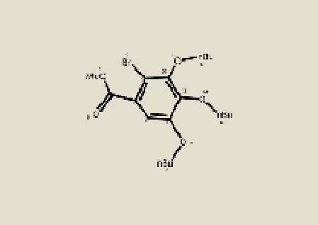 CCCCOc1cc(C(=O)OC)c(Br)c(OCCCC)c1OCCCC